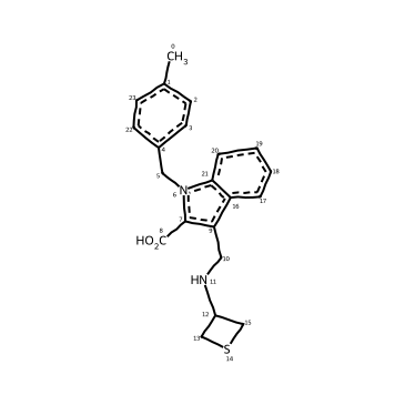 Cc1ccc(Cn2c(C(=O)O)c(CNC3CSC3)c3ccccc32)cc1